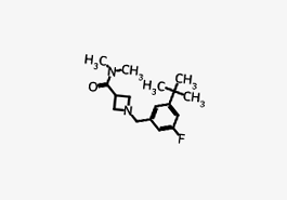 CN(C)C(=O)C1CN(Cc2cc(F)cc(C(C)(C)C)c2)C1